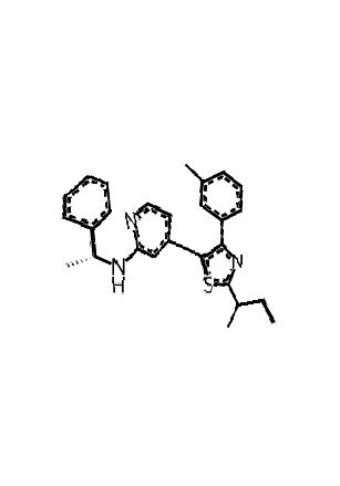 CCC(C)c1nc(-c2cccc(C)c2)c(-c2ccnc(N[C@H](C)c3ccccc3)c2)s1